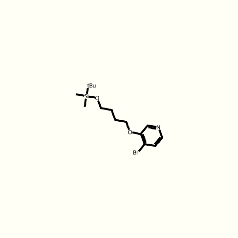 CC(C)(C)[Si](C)(C)OCCCCOc1cnccc1Br